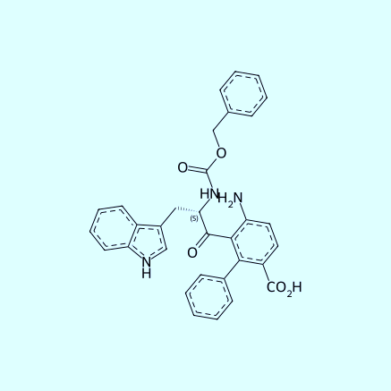 Nc1ccc(C(=O)O)c(-c2ccccc2)c1C(=O)[C@H](Cc1c[nH]c2ccccc12)NC(=O)OCc1ccccc1